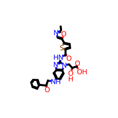 Cc1ncc(-c2ccc(C(=O)Nc3nc4cc(NCC(=O)c5ccccc5)ccc4n3CC(O)C(=O)O)s2)o1